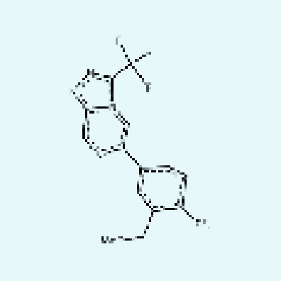 COCc1cc(-c2cn3c(C(C)(F)F)nnc3cn2)ccc1C(F)(F)F